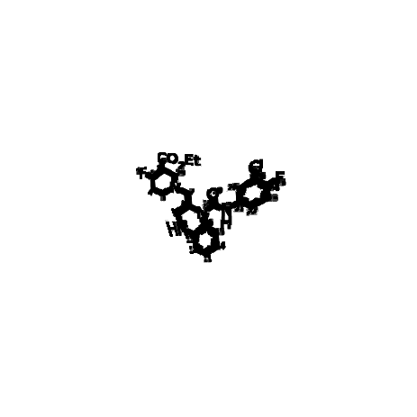 CCOC(=O)C1=C(F)CCN(CC2CNc3ccccc3N2C(=O)Nc2ccc(F)c(Cl)c2)C1